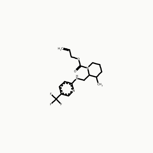 C=CCOC(=O)N1CCCC(C)C1CNc1ccc(C(F)(F)F)cn1